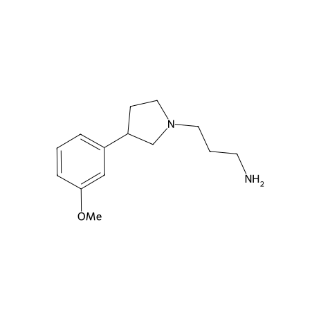 COc1cccc(C2CCN(CCCN)C2)c1